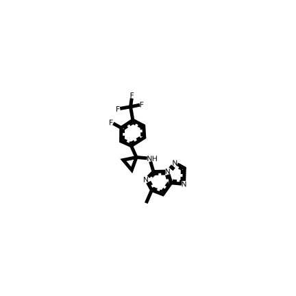 Cc1cc2ncnn2c(NC2(c3ccc(C(F)(F)F)c(F)c3)CC2)n1